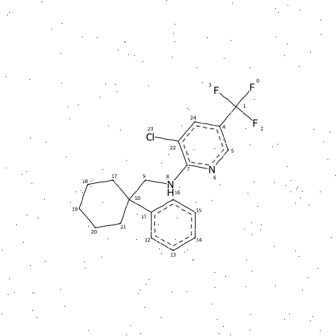 FC(F)(F)c1cnc(NCC2(c3ccccc3)CCCCC2)c(Cl)c1